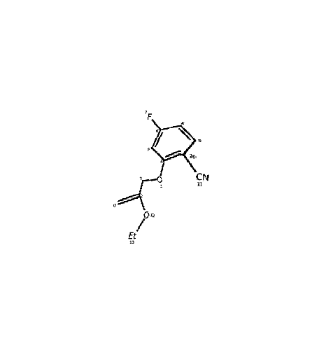 C=C(COc1cc(F)ccc1C#N)OCC